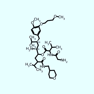 COCCCOc1cc(C[C@@H](C[C@H](N)C(CC(C(=O)NCC2CCOCC2)C(C)C)OC(=O)C(NC(=O)CN)C(C)C)C(C)C)ccc1OC